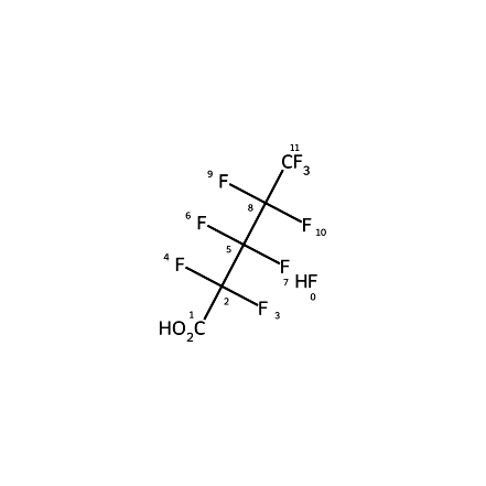 F.O=C(O)C(F)(F)C(F)(F)C(F)(F)C(F)(F)F